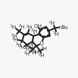 [2H]C1=C(C([2H])([2H])[2H])C([2H])([2H])C([2H])([2H])[C@@]2([2H])C(C([2H])([2H])[2H])(C([2H])([2H])[2H])Oc3cc(C([2H])([2H])CCCC)cc(O)c3[C@]12[2H]